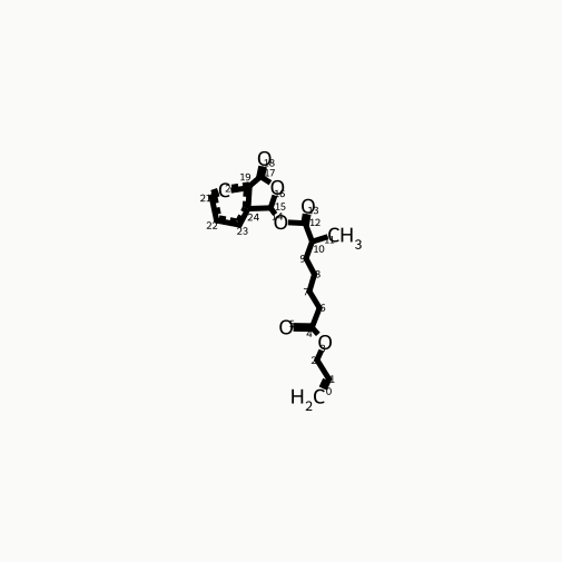 C=CCOC(=O)CCCCC(C)C(=O)OC1OC(=O)c2ccccc21